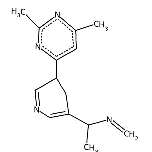 C=NC(C)C1=CN=CC(c2cc(C)nc(C)n2)C1